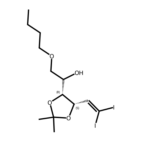 CCCCOCC(O)[C@H]1OC(C)(C)O[C@H]1C=C(I)I